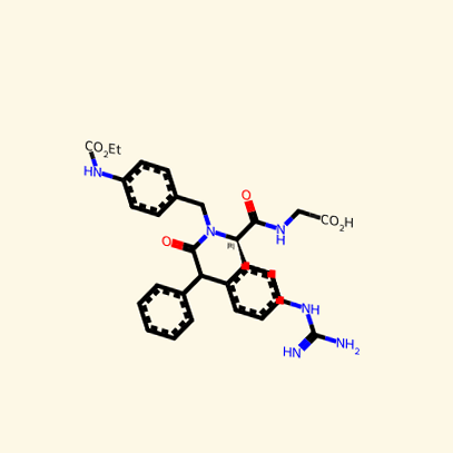 CCOC(=O)Nc1ccc(CN(C(=O)C(c2ccccc2)c2ccccc2)[C@H](CCCNC(=N)N)C(=O)NCC(=O)O)cc1